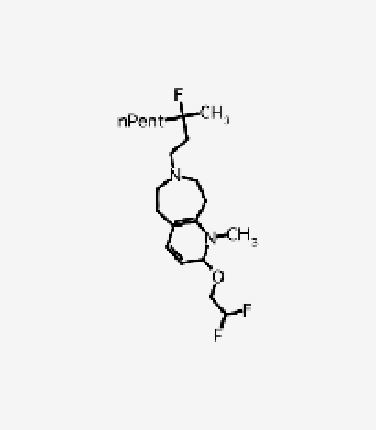 CCCCCC(C)(F)CCN1CCC2=C(CC1)N(C)C(OCC(F)F)C=C2